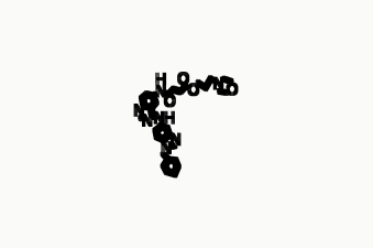 O=C(C=CC(=O)OCCCN1CCOCC1)Nc1ccc2ncnc(Nc3ccc4c(c3)ncn4Cc3ccccc3)c2c1